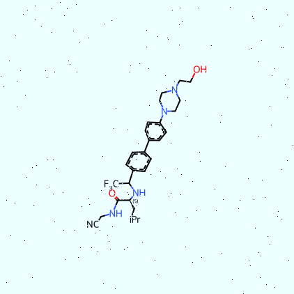 CC(C)C[C@H](NC(c1ccc(-c2ccc(N3CCN(CCO)CC3)cc2)cc1)C(F)(F)F)C(=O)NCC#N